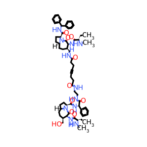 CC[C@H](NC)C(=O)N[C@@H]1C(=O)N2[C@@H](CC[C@@H]1CNC(=O)CCC#CCCC(=O)NCCNC(=O)[C@@H](NC(=O)[C@@H]1CC[C@@H]3CC[C@H](CO)[C@H](NC(=O)[C@H](CC)NC)C(=O)N31)c1ccccc1)CC[C@H]2C(=O)NC(c1ccccc1)c1ccccc1